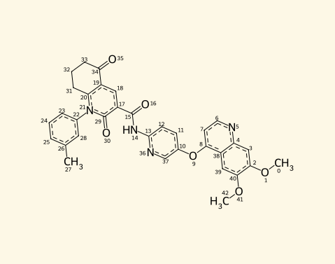 COc1cc2nccc(Oc3ccc(NC(=O)c4cc5c(n(-c6cccc(C)c6)c4=O)CCCC5=O)nc3)c2cc1OC